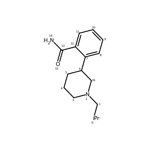 C[C](C)CN1CCCC(c2ccccc2C(N)=O)C1